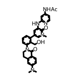 CC(=O)Nc1ccnc(Nc2cc(-c3cccc(N4CCc5cc(N(C)C)ccc5C4=O)c3CO)cn(C)c2=O)c1